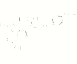 COc1ccc(COCC2C(C(=O)OC3CC(C)CCC3C(C)C)C2(C)C)cc1